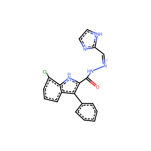 O=C(N/N=C\c1ncc[nH]1)c1[nH]c2c(Cl)cccc2c1-c1ccccc1